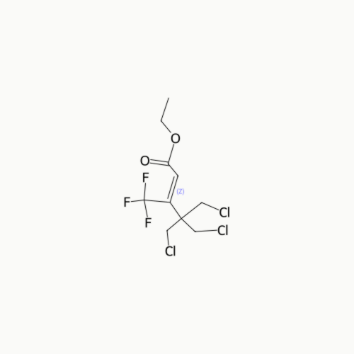 CCOC(=O)/C=C(\C(F)(F)F)C(CCl)(CCl)CCl